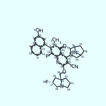 Cn1c(-c2cc(O)cc3ccccc23)c(F)c2nc(OC[C@@]34CCCN3C[C@H](F)C4)c(C#N)c(N3CC4CCC(C3)N4)c2c1=O